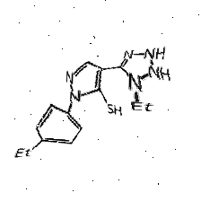 CCc1ccc(-n2ncc(C3=NNNN3CC)c2S)cc1